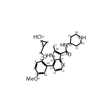 COc1ccc(OCC2CC2)c(-c2ccnc3c(C(=O)NC4CCNCC4)c(C)[nH]c23)c1.Cl